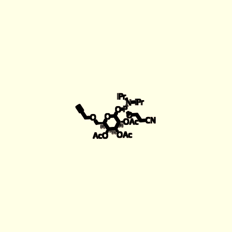 C#CCOC[C@H]1OC(OP(OCCC#N)N(C(C)C)C(C)C)[C@H](OC(C)=O)[C@@H](OC(C)=O)[C@H]1OC(C)=O